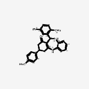 COc1ccc(C2CC(=O)C3=C(C2)Nc2ccccc2NC3c2cc(C(C)C)ccc2OC)cc1